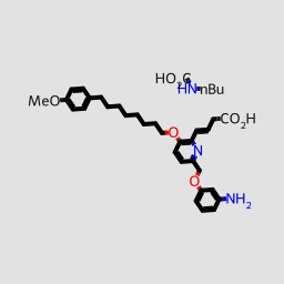 CCCCNC(=O)O.COc1ccc(CCCCCCCCOc2ccc(COc3cccc(N)c3)nc2C=CCC(=O)O)cc1